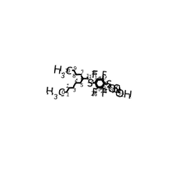 CCCCCCC(CCCC)CSc1c(F)c(F)c(SOOO)c(F)c1F